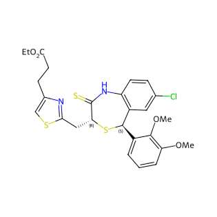 CCOC(=O)CCc1csc(C[C@H]2S[C@H](c3cccc(OC)c3OC)c3cc(Cl)ccc3NC2=S)n1